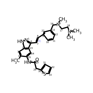 Cc1cc2[nH]nc(/C=C/c3cccc(CN(C)CCN(C)C)c3)c2cc1NC(=O)Cc1cccs1